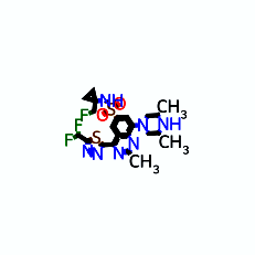 Cc1nc(-c2nnc(C(F)F)s2)c2cc(S(=O)(=O)NC3(CF)CC3)cc(N3C[C@H](C)N[C@@H](C)C3)c2n1